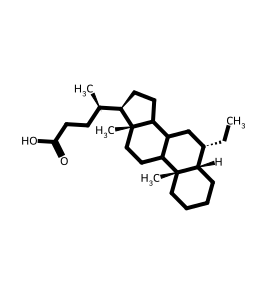 CC[C@H]1CC2C3CC[C@H]([C@H](C)CCC(=O)O)[C@@]3(C)CCC2[C@@]2(C)CCCC[C@@H]12